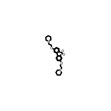 O=S1(=O)c2ccc(OCCN3CCCCC3)cc2-c2ccc(OCCN3CCCCC3)cc21